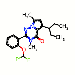 CCC(CC)c1cc(C)n2nc(-c3ccccc3OC(F)F)n(C)c(=O)c12